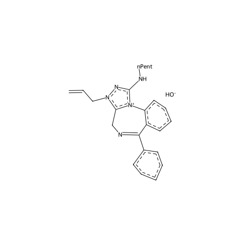 C=CCn1nc(NCCCCC)[n+]2c1CN=C(c1ccccc1)c1ccccc1-2.[OH-]